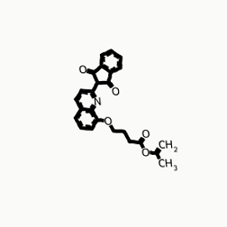 C=C(C)OC(=O)CCCOc1cccc2ccc(C3C(=O)c4ccccc4C3=O)nc12